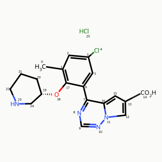 Cc1cc(Cl)cc(-c2ncnn3cc(C(=O)O)cc23)c1O[C@H]1CCCNC1.Cl